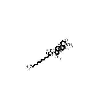 C=CCCCCCCCCC(=O)OC(C)[C@H]1C(C)C[C@H]2[C@@H]3CCC4N(C)C(=O)CC[C@]4(C)[C@H]3CC[C@]12C